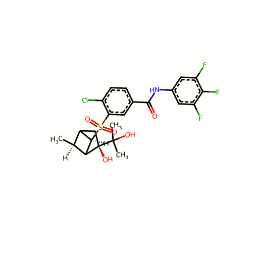 C[C@H]1C2C[C@](O)(C(C)(C)O)C1[C@@H]2S(=O)(=O)c1cc(C(=O)Nc2cc(F)c(F)c(F)c2)ccc1Cl